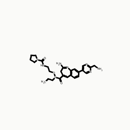 CCCN(OCCNC(=O)N1CCCC1)C(=O)C1=Cc2ccc(-c3cnc(CN)nc3)cc2N=C(N)C1